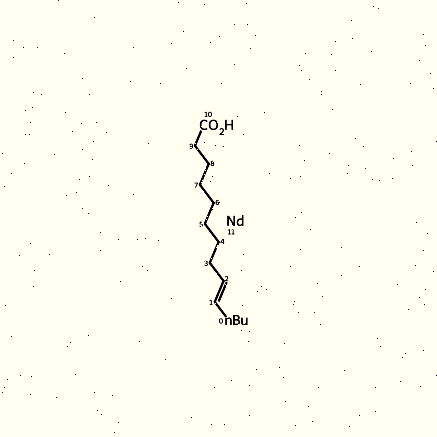 CCCCC=CCCCCCCCC(=O)O.[Nd]